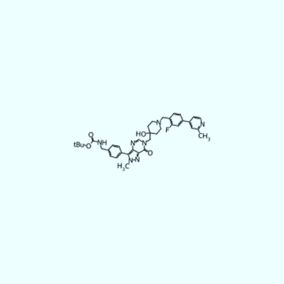 Cc1cc(-c2ccc(CN3CCC(O)(Cn4cnc5c(-c6ccc(CNC(=O)OC(C)(C)C)cc6)n(C)nc5c4=O)CC3)c(F)c2)ccn1